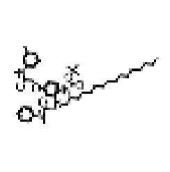 CCCCCCCCCCCCCCC(CN(CC(=O)N(C)c1ccccc1)c1cccc(OCC(=O)N(C)c2cccc(C)c2)c1)NC(=O)OC(C)(C)C